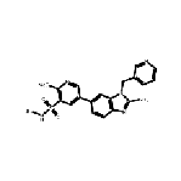 COc1ncc(-c2ccc3nc(N)n(Cc4cccnc4)c3c2)cc1S(=O)(=O)NC(C)(C)C